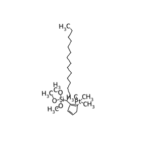 CCCCCCCCCCCCCCC(C1=[C]([Pt]([CH3])([CH3])[CH3])CC=C1)[Si](OC)(OC)OC